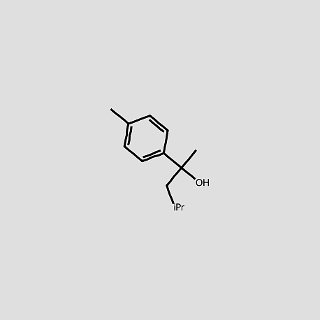 Cc1ccc(C(C)(O)CC(C)C)cc1